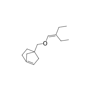 CCC(=COCC12CC=C(CC1)C2)CC